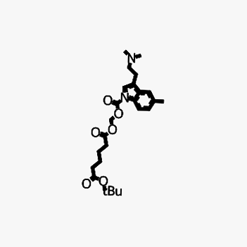 Cc1ccc2c(c1)c(CCN(C)C)cn2C(=O)OCOC(=O)CCCCC(=O)OC(C)(C)C